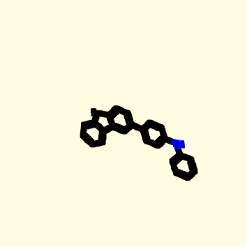 c1ccc(Nc2ccc(-c3ccc4[se]c5ccccc5c4c3)cc2)cc1